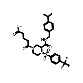 CC(C)c1ccc(CNC(=O)C2CN(C(=O)CCCC(=O)O)CCN2S(=O)(=O)c2ccc(C(F)(F)F)cc2)cc1